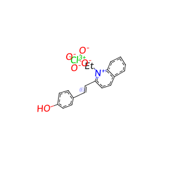 CC[n+]1c(/C=C/c2ccc(O)cc2)ccc2ccccc21.[O-][Cl+3]([O-])([O-])[O-]